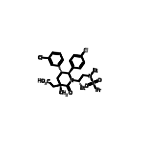 CC[C@@H](CN(CC)S(=O)(=O)C(C)C)N1C(=O)[C@](C)(CC(=O)O)C[C@H](c2cccc(Cl)c2)[C@H]1c1ccc(Cl)cc1